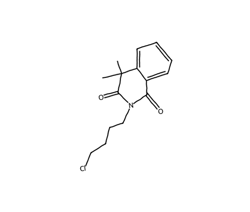 CC1(C)C(=O)N(CCCCCl)C(=O)c2ccccc21